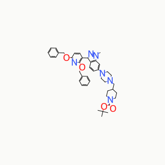 Cn1nc(-c2ccc(OCc3ccccc3)nc2OCc2ccccc2)c2ccc(N3CCN(CC4CCN(C(=O)OC(C)(C)C)CC4)CC3)cc21